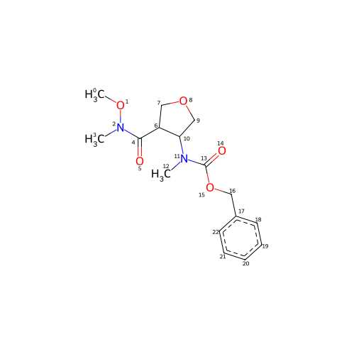 CON(C)C(=O)C1COCC1N(C)C(=O)OCc1ccccc1